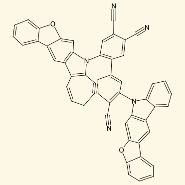 N#CC1=C(n2c3ccccc3c3cc4c(cc32)oc2ccccc24)C=C(c2cc(C#N)c(C#N)cc2-n2c3c(c4cc5c(cc42)oc2ccccc25)C=CCC#C3)CC1